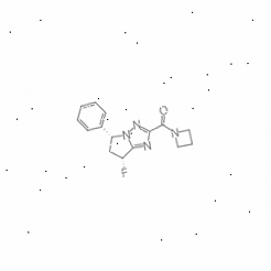 O=C(c1nc2n(n1)[C@@H](c1ccccc1)C[C@H]2F)N1CCC1